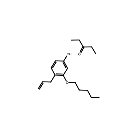 C=CCc1ccc(O)cc1OCCCCC.CCC(=O)CC